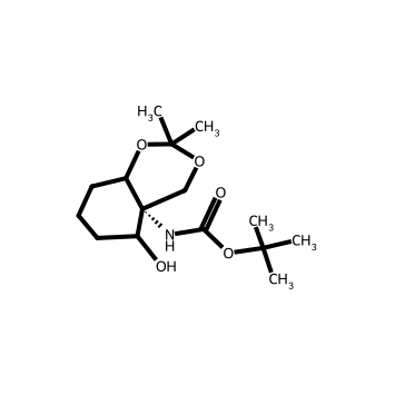 CC(C)(C)OC(=O)N[C@@]12COC(C)(C)OC1CCCC2O